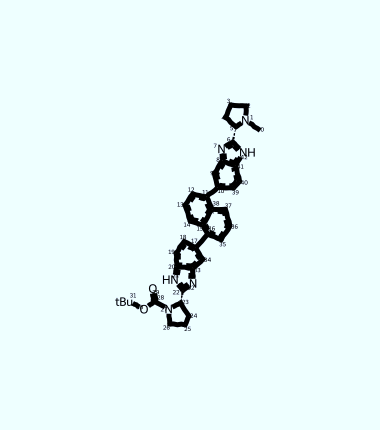 CN1CCC[C@H]1c1nc2cc(-c3cccc4c(-c5ccc6[nH]c([C@@H]7CCCN7C(=O)OC(C)(C)C)nc6c5)cccc34)ccc2[nH]1